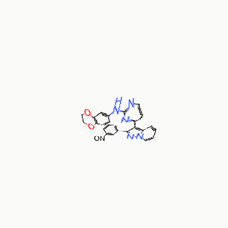 O=Nc1cccc(-c2nn3ccccc3c2-c2ccnc(Nc3ccc4c(c3)OCCO4)n2)c1